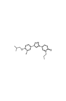 CCCn1cc(-n2cc(-c3ccc(OCC(C)C)c(F)c3)cn2)ccc1=O